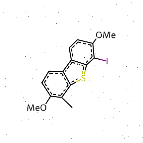 COc1ccc2c(sc3c(I)c(OC)ccc32)c1C